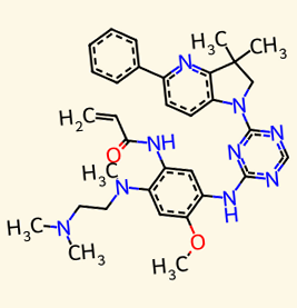 C=CC(=O)Nc1cc(Nc2ncnc(N3CC(C)(C)c4nc(-c5ccccc5)ccc43)n2)c(OC)cc1N(C)CCN(C)C